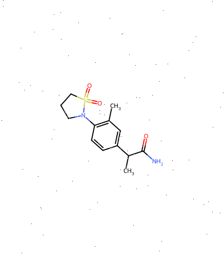 Cc1cc(C(C)C(N)=O)ccc1N1CCCS1(=O)=O